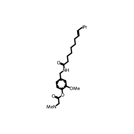 CNCC(=O)Oc1ccc(CNC(=O)CCCCCC/C=C/C(C)C)cc1OC